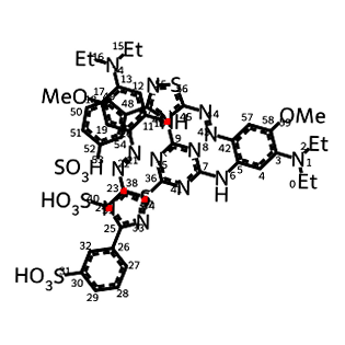 CCN(CC)c1cc(Nc2nc(Nc3cc(N(CC)CC)c(OC)cc3/N=N/c3nc(-c4cccc(S(=O)(=O)O)c4)ns3)nc(SCCS(=O)(=O)O)n2)c(/N=N/c2nc(-c3cccc(S(=O)(=O)O)c3)ns2)cc1OC